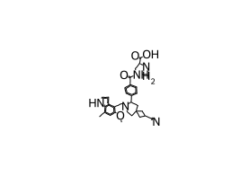 COc1cc(C)c2[nH]ccc2c1CN1CCC2(CC(C#N)C2)CC1c1ccc(C(=O)NC[C@H](N)C(=O)O)cc1